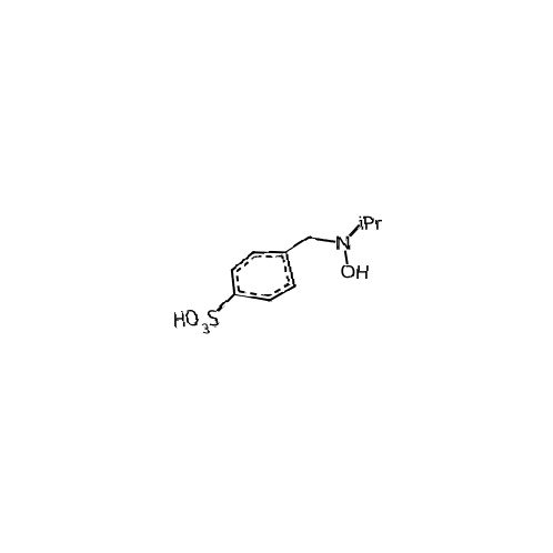 CC(C)N(O)Cc1ccc(S(=O)(=O)O)cc1